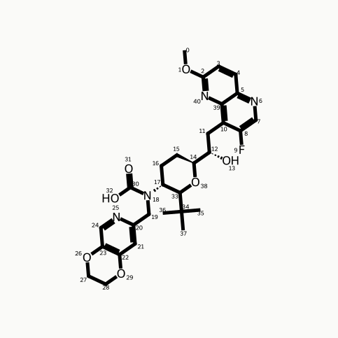 COc1ccc2ncc(F)c(C[C@H](O)[C@@H]3CC[C@@H](N(Cc4cc5c(cn4)OCCO5)C(=O)O)C(C(C)(C)C)O3)c2n1